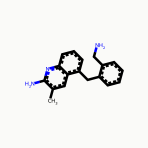 Cc1cc2c(Cc3ccccc3CN)cccc2nc1N